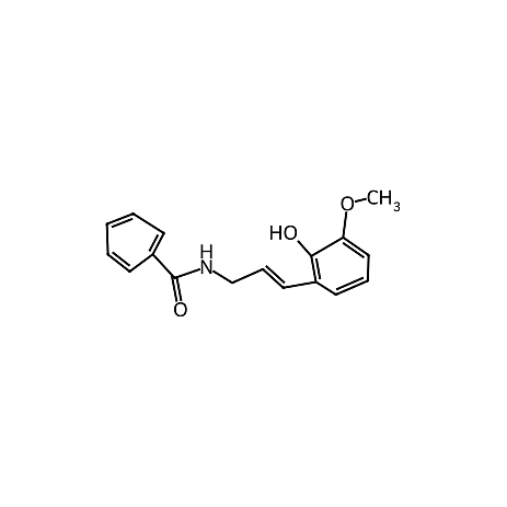 COc1cccc(/C=C/CNC(=O)c2ccccc2)c1O